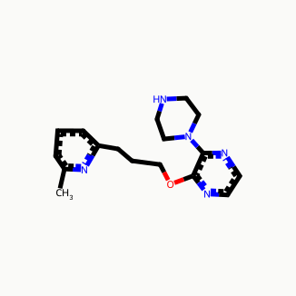 Cc1cccc(CCCOc2nccnc2N2CCNCC2)n1